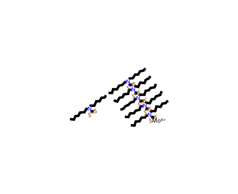 CCCCCCCN(CCCCCCC)C(=S)[S-].CCCCCCCN(CCCCCCC)C(=S)[S-].CCCCCCCN(CCCCCCC)C(=S)[S-].CCCCCCCN(CCCCCCC)C(=S)[S-].CCCCCCCN(CCCCCCC)C(=S)[S-].CCCCCCCN(CCCCCCC)C(=S)[S-].[Mo+6]